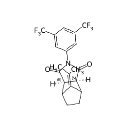 CC(C)=C1C2CCC1[C@@H]1C(=O)N(c3cc(C(F)(F)F)cc(C(F)(F)F)c3)C(=O)[C@H]21